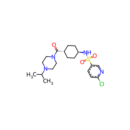 CC(C)N1CCN(C(=O)[C@H]2CC[C@H](NS(=O)(=O)c3ccc(Cl)nc3)CC2)CC1